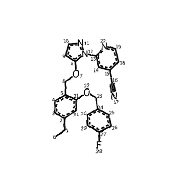 CCc1ccc(COc2ccnn2-c2cc(C#N)ccn2)c(OCc2ccc(F)cc2)c1